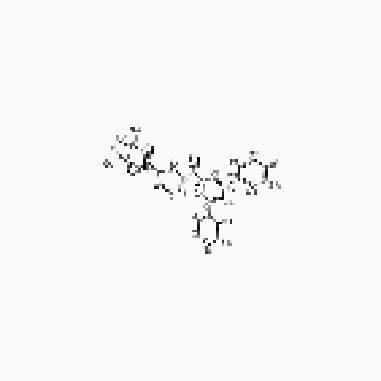 CC1(C)OB(c2cccc(C(=O)c3cc(-c4ccccc4)cc(-c4ccccc4)c3)c2)OC1(C)C